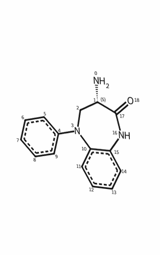 N[C@H]1CN(c2ccccc2)c2ccccc2NC1=O